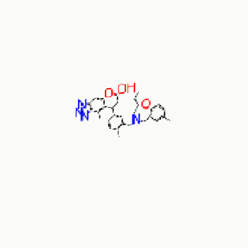 CC[C@@H]1CN(Cc2cc(C(CC(=O)O)c3ccc4c(nnn4C)c3C)ccc2C)Cc2cc(C)ccc2O1